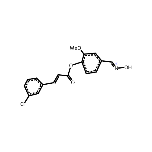 COc1cc(/C=N/O)ccc1OC(=O)C=Cc1cccc(Cl)c1